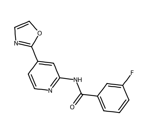 O=C(Nc1cc(-c2ncco2)ccn1)c1cccc(F)c1